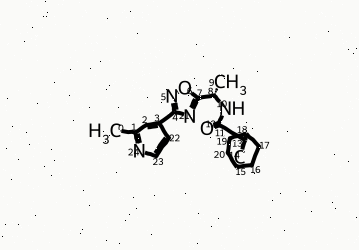 Cc1cc(-c2noc([C@H](C)NC(=O)C3CC4CCC3CC4)n2)ccn1